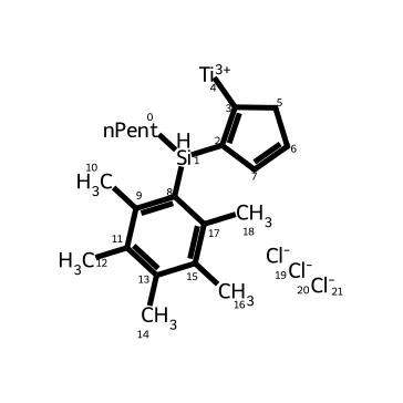 CCCCC[SiH](C1=[C]([Ti+3])CC=C1)c1c(C)c(C)c(C)c(C)c1C.[Cl-].[Cl-].[Cl-]